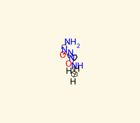 CC1(C)[C@H]2CC[C@@H](CNC(=O)c3cccc4nc(C(=O)N5CC[C@@H](N)C5)cn34)[C@@H]1C2